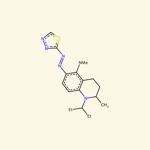 CCC(CC)N1c2ccc(N=Nc3nncs3)c(NC)c2CCC1C